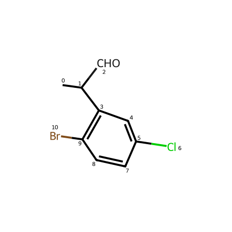 CC(C=O)c1cc(Cl)ccc1Br